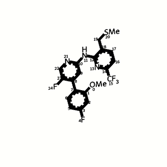 COc1cc(F)ccc1-c1cc(Nc2nc(C(F)(F)F)ccc2CSC)ncc1F